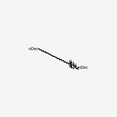 CCCCCCCCCCCCCCCCCCCCCCCCCCCCCCCCCCCCCCn1c2ncnc3c(ncn3CC(C)CCCCCCCCCCC)c-2nc1=O